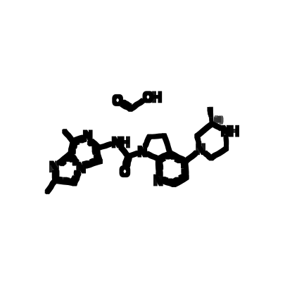 Cc1cn2cc(NC(=O)N3CCc4c(N5CCN[C@H](C)C5)ccnc43)nc(C)c2n1.O=CO